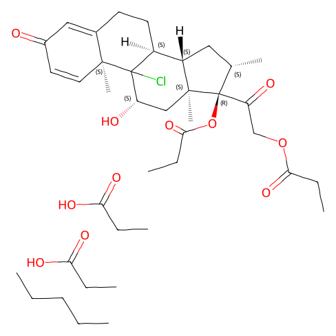 CCC(=O)O.CCC(=O)O.CCC(=O)OCC(=O)[C@@]1(OC(=O)CC)[C@@H](C)C[C@H]2[C@@H]3CCC4=CC(=O)C=C[C@]4(C)C3(Cl)[C@@H](O)C[C@@]21C.CCCCC